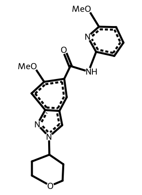 COc1cccc(NC(=O)c2cc3cn(C4CCOCC4)nc3cc2OC)n1